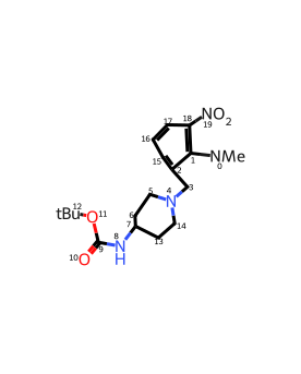 CNc1c(CN2CCC(NC(=O)OC(C)(C)C)CC2)cccc1[N+](=O)[O-]